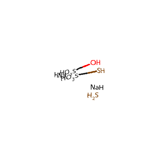 O=S(=O)(O)O.O=S(=O)(O)S.S.[NaH].[NaH]